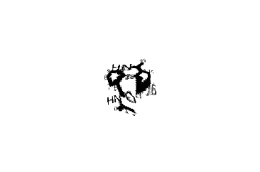 CC(C)NC(=O)c1cccc(NC(C)C2CCCC2)c1